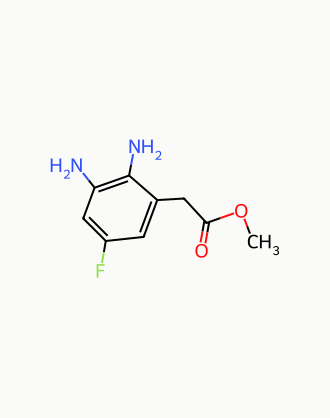 COC(=O)Cc1cc(F)cc(N)c1N